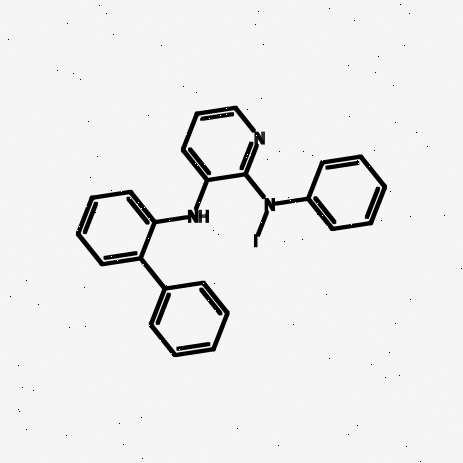 IN(c1ccccc1)c1ncccc1Nc1ccccc1-c1ccccc1